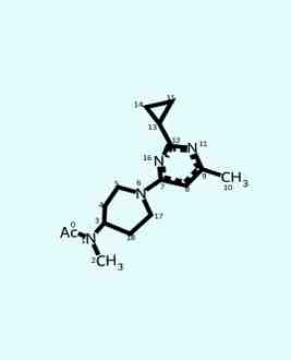 CC(=O)N(C)C1CCN(c2cc(C)nc(C3CC3)n2)CC1